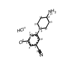 Cl.N#Cc1cc(Cl)nc(N2CCC(N)CC2)c1